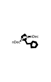 CCCCCCCCCCn1cc[n+](CCCCCCCCCC)c1Cc1ccccc1